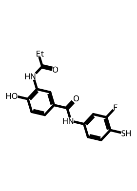 CCC(=O)Nc1cc(C(=O)Nc2ccc(S)c(F)c2)ccc1O